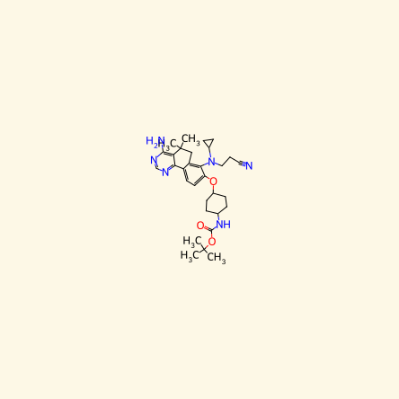 CC(C)(C)OC(=O)NC1CCC(Oc2ccc3c(c2N(CCC#N)C2CC2)CC(C)(C)c2c(N)ncnc2-3)CC1